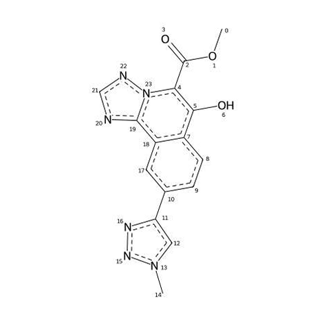 COC(=O)c1c(O)c2ccc(-c3cn(C)nn3)cc2c2ncnn12